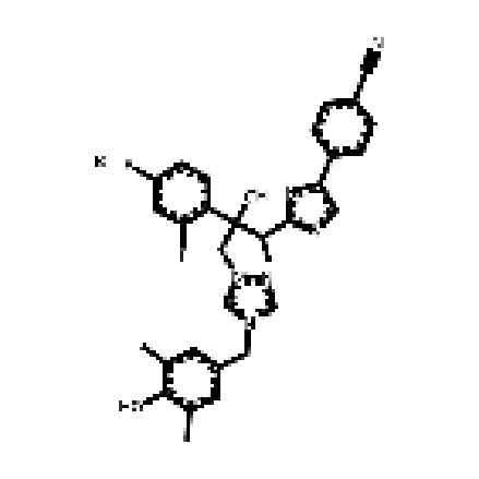 Cc1cc(C[n+]2cnn(CC(O)(c3ccc(F)cc3F)C(C)c3nc(-c4ccc(C#N)cc4)cs3)c2)cc(C)c1O.[Br-]